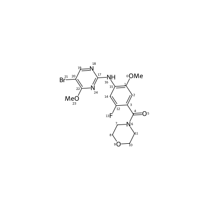 COc1cc(C(=O)N2CCOCC2)c(F)cc1Nc1ncc(Br)c(OC)n1